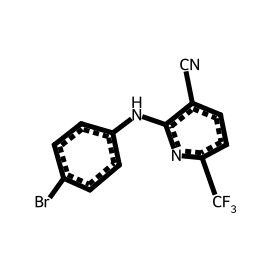 N#Cc1ccc(C(F)(F)F)nc1Nc1ccc(Br)cc1